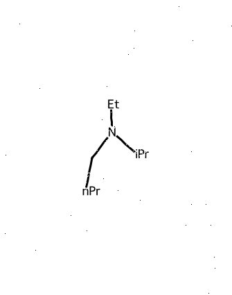 C[CH]CCN(CC)C(C)C